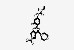 CCNC(=O)Nc1ccc(-c2nc3c(c(N4CCOCC4)n2)CN(C(=O)OC)C3)c(F)c1